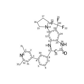 Cc1cc(-c2cccc(C3=Nc4cc(N5CCCC5)c(C(F)(F)F)cc4NC(=O)C3)c2)cc(C)n1